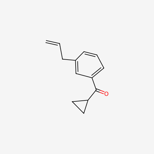 C=CCc1cccc(C(=O)C2CC2)c1